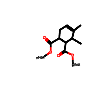 CCCCCCOC(=O)C1CC=C(C)C(C)C1C(=O)OCCCCCC